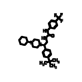 CC(C)(C)c1ccc(C(CNC(=O)Nc2ccc(C(F)(F)F)cc2)N2CCN(C3CCCCC3)CC2)cc1